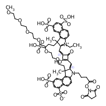 CC[N+]1=C(/C=C2\C(=O)C(/C=C3/N(CCCC(=O)ON4C(=O)CCC4=O)c4ccc5c(S(=O)(=O)[O-])cc(S(=O)(=O)O)cc5c4C3(C)CCOCCOCCOCCOCCOCCOC)=C2O)C(C)(CCCS(=O)(=O)O)c2c1ccc1c(S(=O)(=O)O)cc(S(=O)(=O)O)cc21